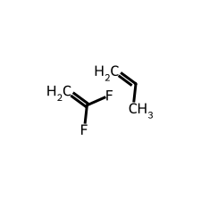 C=C(F)F.C=CC